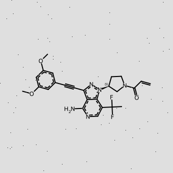 C=CC(=O)N1CC[C@H](n2nc(C#Cc3cc(OC)cc(OC)c3)c3c(N)ncc(C(C)(F)F)c32)C1